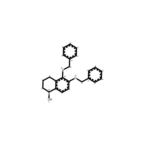 O[C@H]1CCCc2c1ccc(OCc1ccccc1)c2OCc1ccccc1